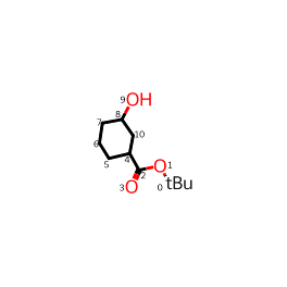 CC(C)(C)OC(=O)C1CCCC(O)C1